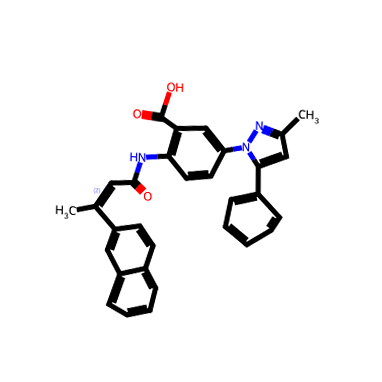 C/C(=C/C(=O)Nc1ccc(-n2nc(C)cc2-c2ccccc2)cc1C(=O)O)c1ccc2ccccc2c1